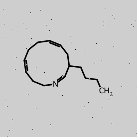 CCCCC1C=NCCC=CCCC=CC1